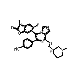 CN1CCC[C@@H](COc2nc(-c3ccc(C#N)cc3)c(-c3cc4oc(=O)n(C)c4cc3F)n3cncc23)C1